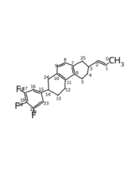 C/C=C/C1CCc2c(ccc3c2CCC(c2cc(F)c(F)c(F)c2)C3)C1